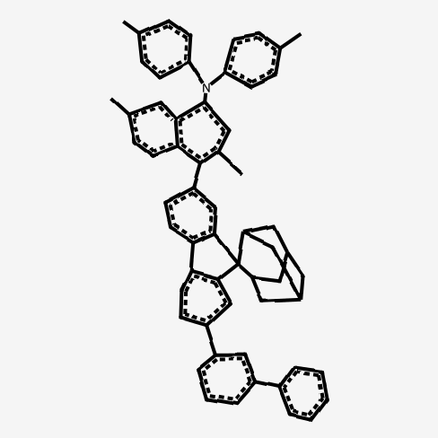 Cc1ccc(N(c2ccc(C)cc2)c2cc(C)c(-c3ccc4c(c3)C3(c5cc(-c6cccc(-c7ccccc7)c6)ccc5-4)C4CC5CC(C4)CC3C5)c3ccc(C)cc23)cc1